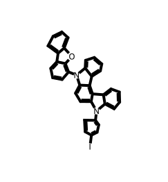 Ic1ccc(-n2c3ccccc3c3c4c5ccccc5n(-c5cccc6c5oc5ccccc56)c4ccc32)cc1